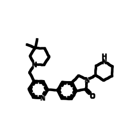 CC1(C)CCCN(Cc2ccnc(-c3ccc4c(c3)CN(C3CCCNC3)C4=O)c2)C1